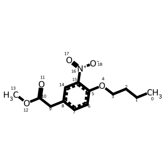 CCCCOc1ccc(CC(=O)OC)cc1[N+](=O)[O-]